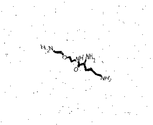 NCCCCC(N)C(=O)NCCOCCN